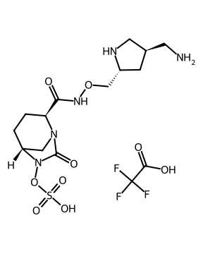 NC[C@@H]1CN[C@@H](CONC(=O)[C@@H]2CC[C@@H]3CN2C(=O)N3OS(=O)(=O)O)C1.O=C(O)C(F)(F)F